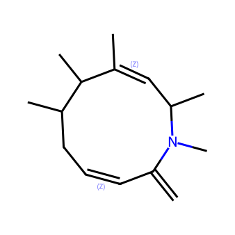 C=C1/C=C\CC(C)C(C)/C(C)=C\C(C)N1C